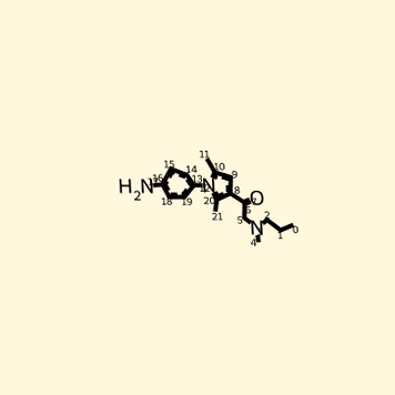 CCCN(C)CC(=O)c1cc(C)n(-c2ccc(N)cc2)c1C